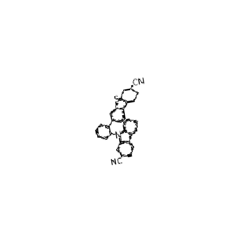 N#CC1=Cc2sc3cc(-c4ccccc4-n4c5ccccc5c5ccc(C#N)cc54)ccc3c2CC1